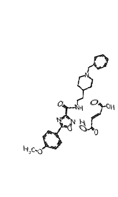 COc1ccc(-c2nc(C(=O)NCCC3CCN(Cc4ccccc4)CC3)no2)cc1.O=C(O)/C=C/C(=O)O